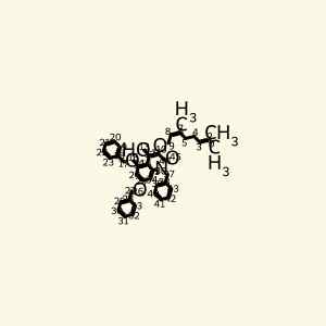 CC(C)=CCCC(C)=CCOc1c(O)c2c(OCc3ccccc3)cc(OCc3ccccc3)cc2n(Cc2ccccc2)c1=O